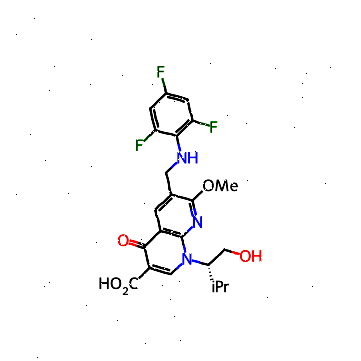 COc1nc2c(cc1CNc1c(F)cc(F)cc1F)c(=O)c(C(=O)O)cn2[C@H](CO)C(C)C